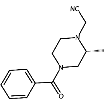 C[C@@H]1CN(C(=O)c2ccccc2)CCN1CC#N